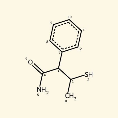 CC(S)C(C(N)=O)c1ccccc1